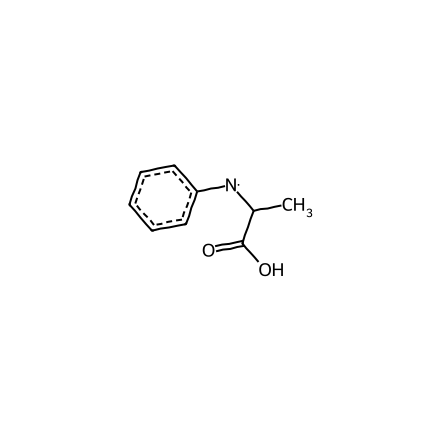 CC([N]c1ccccc1)C(=O)O